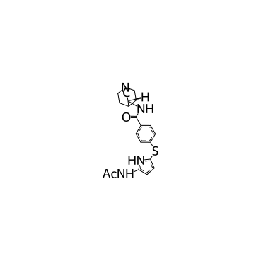 CC(=O)Nc1ccc(Sc2ccc(C(=O)N[C@H]3CN4CCC3CC4)cc2)[nH]1